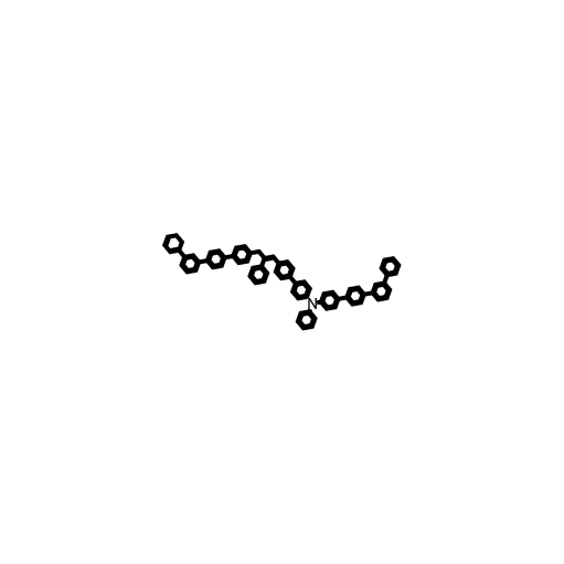 C1=CCCC(c2cccc(-c3ccc(-c4ccc(C/C(=C/c5ccc(-c6ccc(N(c7ccccc7)c7ccc(-c8ccc(-c9cccc(-c%10ccccc%10)c9)cc8)cc7)cc6)cc5)c5ccccc5)cc4)cc3)c2)=C1